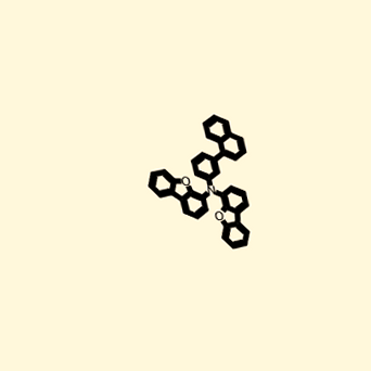 c1cc(-c2cccc3ccccc23)cc(N(c2cccc3c2oc2ccccc23)c2cccc3c2oc2ccccc23)c1